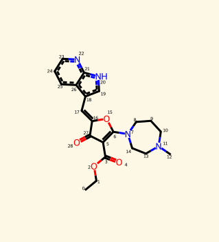 CCOC(=O)C1=C(N2CCCN(C)CC2)O/C(=C\c2c[nH]c3ncccc23)C1=O